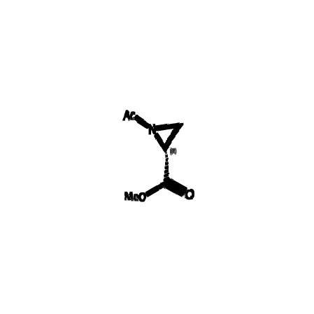 COC(=O)[C@H]1CN1C(C)=O